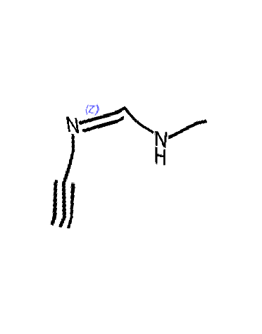 C#C/N=C\NC